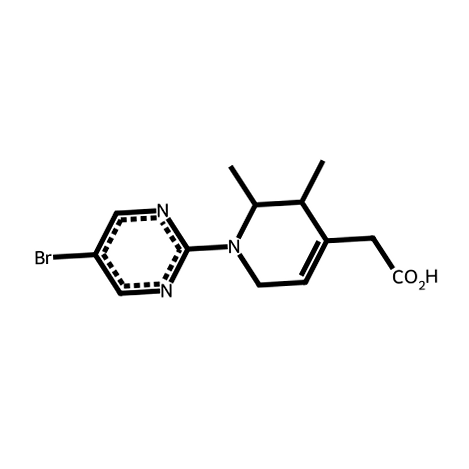 CC1C(CC(=O)O)=CCN(c2ncc(Br)cn2)C1C